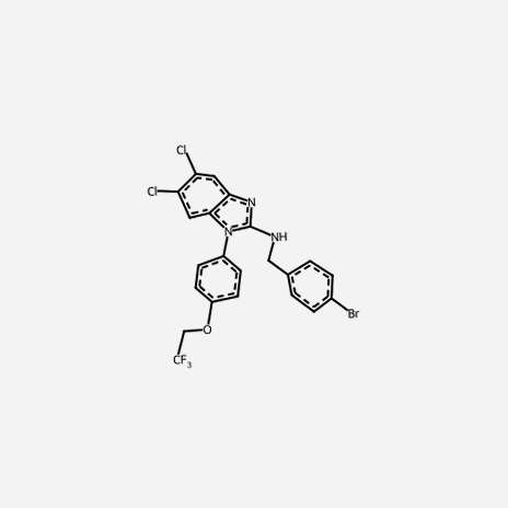 FC(F)(F)COc1ccc(-n2c(NCc3ccc(Br)cc3)nc3cc(Cl)c(Cl)cc32)cc1